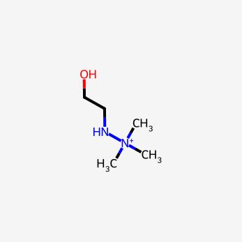 C[N+](C)(C)NCCO